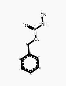 N#CN[PH](=O)OCc1ccccc1